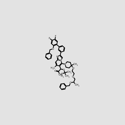 Cc1cc2nc(-c3cccc(-c4cc(F)c(F)cc4OCc4ccccc4)c3)cn2c(N2CCC(C)(OCCOCC(C)OCc3ccccc3)CC2)c1C(OC(C)(C)C)C(=O)O